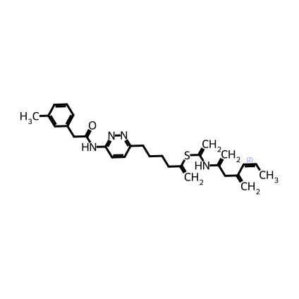 C=C(/C=C\C)CC(=C)NC(=C)SC(=C)CCCCc1ccc(NC(=O)Cc2cccc(C)c2)nn1